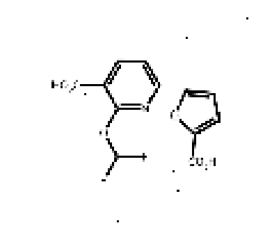 O=C(O)c1cccnc1OC(F)F.O=C(O)c1ccco1